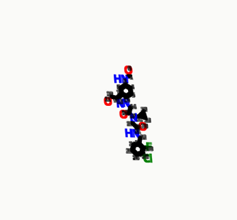 O=CNc1ccc2c(c1)c(C=O)nn2CC(=O)N(CC(=O)NCc1cccc(Cl)c1F)C1CC1